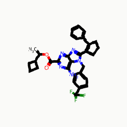 CC(OC(=O)c1nc(N)c2c(n1)nc(C1=C(c3ccccc3)CCC1)n2Cc1ccc(C(F)(F)F)cc1)C1CCC1